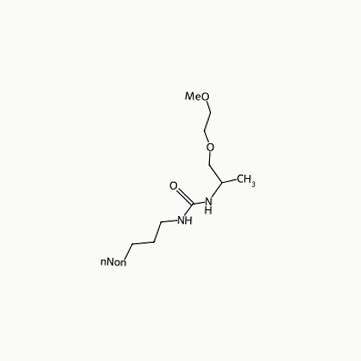 CCCCCCCCCCCCNC(=O)NC(C)COCCOC